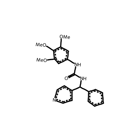 COc1cc(NC(=O)NC(c2ccccc2)c2ccncc2)cc(OC)c1OC